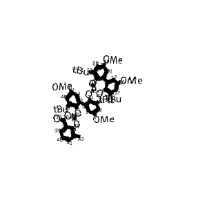 COc1cc(-c2cc(OC)cc(C(C)(C)C)c2Op2oc3c(C(C)(C)C)cc(OC)cc3c3cc(OC)cc(C(C)(C)C)c3o2)c(OP2OC(=O)c3cccc(C)c3O2)c(C(C)(C)C)c1